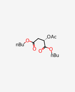 CCCCOC(=O)C[C@H](OC(C)=O)C(=O)OCCCC